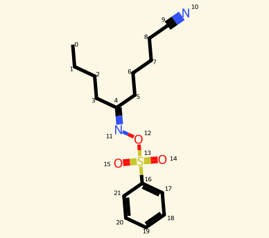 CCCCC(CCCCC#N)=NOS(=O)(=O)c1ccccc1